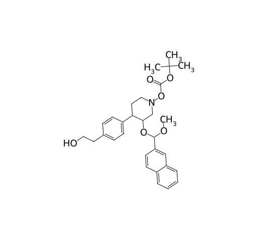 COC(OC1CN(OC(=O)OC(C)(C)C)CCC1c1ccc(CCO)cc1)c1ccc2ccccc2c1